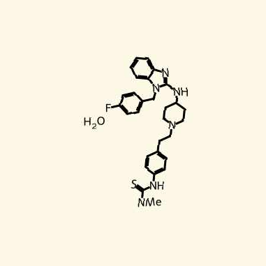 CNC(=S)Nc1ccc(CCN2CCC(Nc3nc4ccccc4n3Cc3ccc(F)cc3)CC2)cc1.O